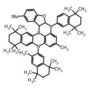 Cc1cc2c3c(c1)N(c1ccc4c(c1)C(C)(C)CCC4(C)C)C1Oc4ccc(C(C)(C)C)cc4C1B3c1cc3c(cc1N2c1cc2c(cc1C)C(C)(C)CCC2(C)C)C(C)(C)CCC3(C)C